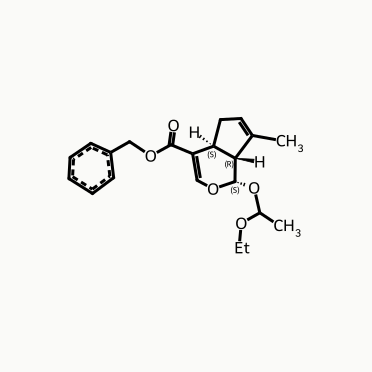 CCOC(C)O[C@@H]1OC=C(C(=O)OCc2ccccc2)[C@H]2CC=C(C)[C@H]12